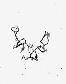 CC(Sc1cc(-c2cnn(C3CCNCC3)c2)cnc1N)c1ccc(OCCN2CCOCC2)c(F)c1F